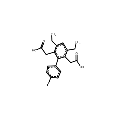 CCc1cc(CC)c(CC(=O)O)c(-c2ccc(F)cc2)c1CC(=O)O